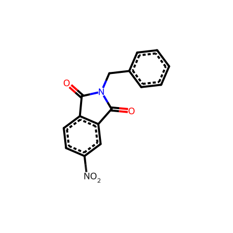 O=C1c2ccc([N+](=O)[O-])cc2C(=O)N1Cc1ccccc1